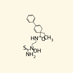 CCC1(C(=O)NCCN(O)C(N)=S)C=CC(c2ccccc2)=CC1